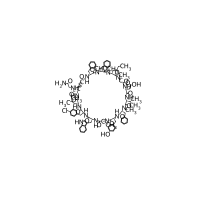 CCCC[C@H]1C(=O)N(C)CC(=O)N[C@@H](CC(=O)O)C(=O)N[C@@H](C(C)C)C(=O)N(C)[C@@H](Cc2ccccc2)C(=O)N[C@@H](Cc2ccc(O)cc2)C(=O)N(C)CC(=O)N[C@@H](Cc2c[nH]c3ccccc23)C(=O)NC(Cc2ccc(Cl)cc2)C(=O)N[C@@H](CC(C)C)C(=O)N[C@H](C(=O)NCC(N)=O)CSCC(=O)N[C@@H](Cc2ccccc2)C(=O)N(C)[C@@H](Cc2ccccc2)C(=O)N1C